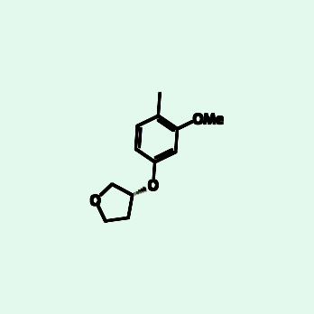 COc1cc(O[C@@H]2CCOC2)ccc1C